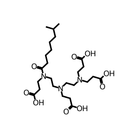 CC(C)CCCCCC(=O)N(CCC(=O)O)CCN(CCC(=O)O)CCN(CCC(=O)O)CCC(=O)O